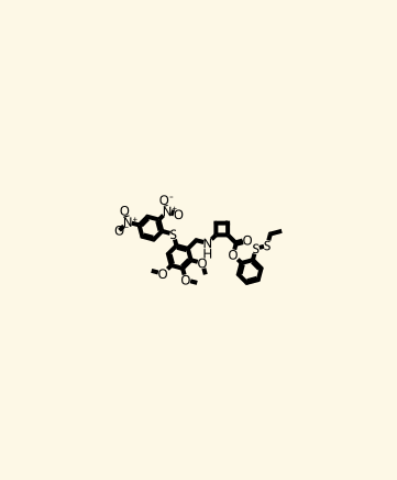 CCSSc1ccccc1OC(=O)C1CCC1NCc1c(Sc2ccc([N+](=O)[O-])cc2[N+](=O)[O-])cc(OC)c(OC)c1OC